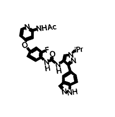 CC(=O)Nc1cc(Oc2ccc(NC(=O)Nc3cn(C(C)C)nc3-c3ccc4[nH]ncc4c3)c(F)c2)ccn1